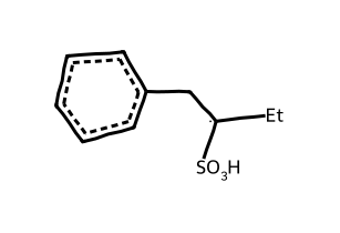 CC[C](Cc1ccccc1)S(=O)(=O)O